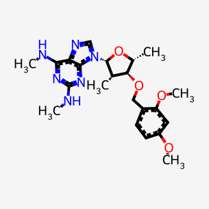 CNc1nc(NC)c2ncn([C@@H]3O[C@H](C)[C@@H](OCc4ccc(OC)cc4OC)[C@@H]3C)c2n1